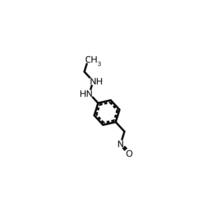 CCNNc1ccc(CN=O)cc1